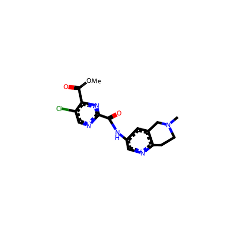 COC(=O)c1nc(C(=O)Nc2cnc3c(c2)CN(C)CC3)ncc1Cl